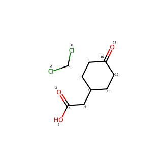 ClCCl.O=C(O)CC1CCC(=O)CC1